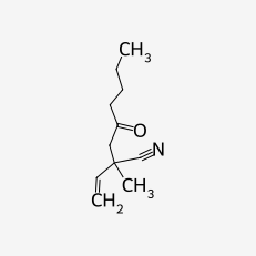 C=CC(C)(C#N)CC(=O)CCCC